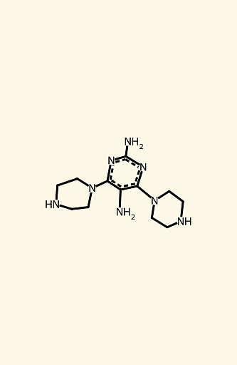 Nc1nc(N2CCNCC2)c(N)c(N2CCNCC2)n1